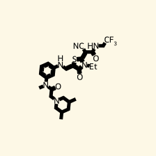 CCn1c(=C(C#N)C(=O)NCC(F)(F)F)sc(=CNc2cccc(N(C)C(=O)CN3CC(C)CC(C)C3)c2)c1=O